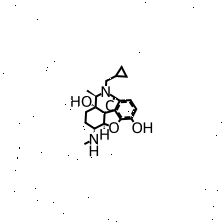 CN[C@@H]1CC[C@@]2(O)[C@@H](C)N(CC3CC3)C3C[C@@]24c2c3ccc(O)c2O[C@@H]14